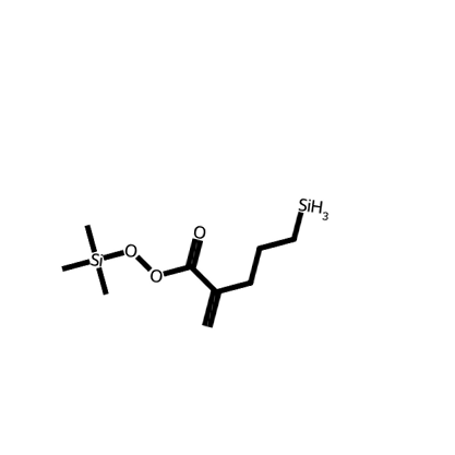 C=C(CCC[SiH3])C(=O)OO[Si](C)(C)C